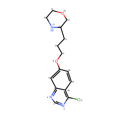 Clc1ncnc2cc(OCCCC3COCCN3)ccc12